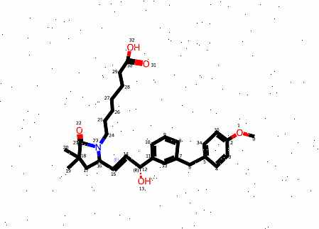 COc1ccc(Cc2cccc([C@H](O)/C=C/C3CC(C)(C)C(=O)N3CCCCCCC(=O)O)c2)cc1